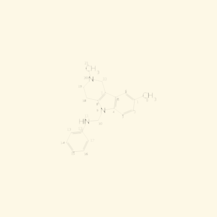 Cc1ccc2c(c1)c1c(n2CNc2ccccc2)CCN(C)C1